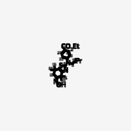 CCOC(=O)c1ccc(N(CC(C)C)c2nc3c(s2)C(C)(C)C/C(=N/O)C3(C)C)cc1